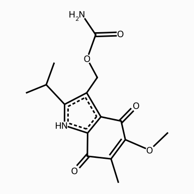 COC1=C(C)C(=O)c2[nH]c(C(C)C)c(COC(N)=O)c2C1=O